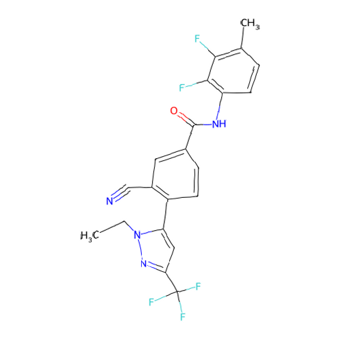 CCn1nc(C(F)(F)F)cc1-c1ccc(C(=O)Nc2ccc(C)c(F)c2F)cc1C#N